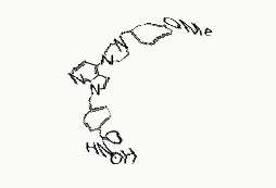 COc1cccc(CN2CCN(c3ccnc4c3ccn4Cc3ccc(C(=O)NO)cc3)CC2)c1